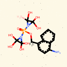 BC1(O)N(P(=O)(O[C@@H](c2ccc(N)c3ccccc23)C(F)(F)F)N2C(O)(O)C2(O)O)C1(O)O